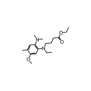 CCOC(=O)CCCN(CC)c1cc(OC)c(C)cc1N(C)C